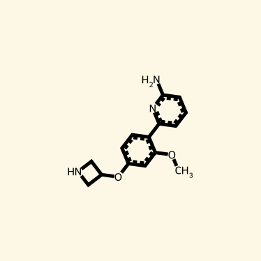 COc1cc(OC2CNC2)ccc1-c1cccc(N)n1